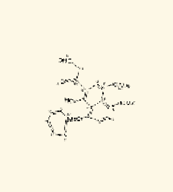 COc1ccc(OC)c2c(O)c(C(=O)CC=O)cc(OC)c12.c1ccncc1